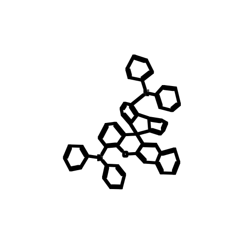 c1ccc(N(c2ccccc2)c2cccc3c2Oc2cc4ccccc4cc2C32c3ccccc3-c3c(N(c4ccccc4)c4ccccc4)cccc32)cc1